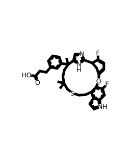 CC1(C)CCC(C)(c2cccc(CCC(=O)O)c2)c2cnc([nH]2)C2CC(=CC=C2F)Oc2c(F)cc3[nH]ccc3c2CCSC1